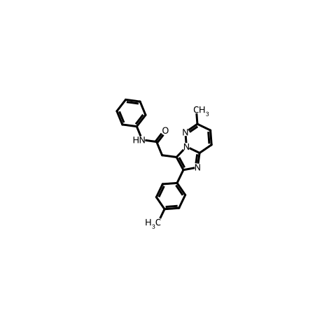 Cc1ccc(-c2nc3ccc(C)nn3c2CC(=O)Nc2ccccc2)cc1